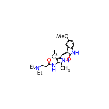 CCN(CC)CCC(=O)Nc1c(C)[nH]c(/C=C2\C(=O)Nc3ccc(OC)cc32)c1C